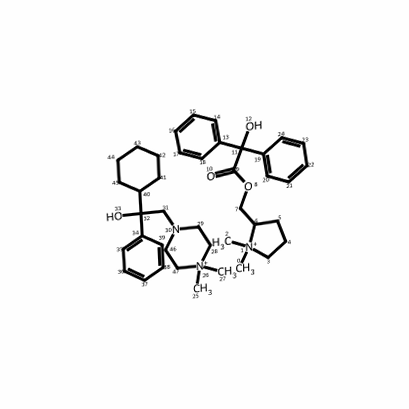 C[N+]1(C)CCCC1COC(=O)C(O)(c1ccccc1)c1ccccc1.C[N+]1(C)CCN(CC(O)(c2ccccc2)C2CCCCC2)CC1